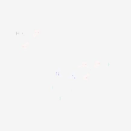 CS(=O)(=O)c1ccc(-c2nc(C(F)(F)F)nc(OS(=O)(=O)c3ccccc3F)c2-c2ccccc2)cc1